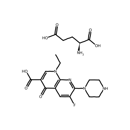 CCn1cc(C(=O)O)c(=O)c2cc(F)c(N3CCNCC3)nc21.N[C@@H](CCC(=O)O)C(=O)O